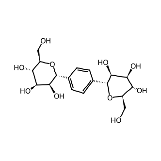 OC[C@H]1O[C@H](c2ccc([C@H]3O[C@H](CO)[C@@H](O)[C@H](O)[C@@H]3O)cc2)[C@@H](O)[C@@H](O)[C@@H]1O